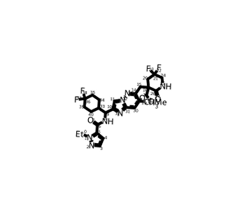 CCn1nccc1C(=O)NC(c1cn2nc(CC3(C(=O)OC)CC(F)(F)CNC3=O)c(C)cc2n1)C1CCC(F)(F)CC1